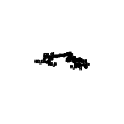 CCC(=O)NCCNC(=O)/N=C(/N)NCCC[C@@H](NC(=O)[C@@H](c1ccccc1)c1cccc(OCCOCCOCCOCCNC(=O)CN2CCN(CC(=O)O)CCN(CC(=O)O)CCN(CC(=O)O)CC2)c1)C(=O)NCc1ccc(O)cc1